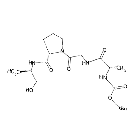 C[C@H](NC(=O)OC(C)(C)C)C(=O)NCC(=O)N1CCC[C@H]1C(=O)N[C@@H](CO)C(=O)O